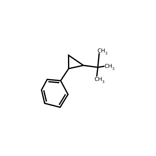 CC(C)(C)C1CC1c1ccccc1